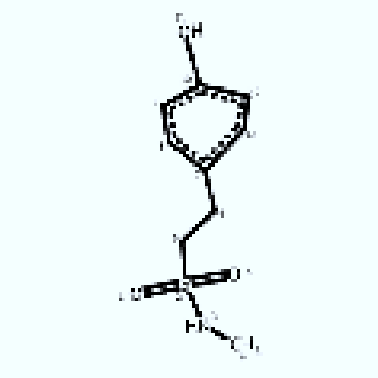 CNS(=O)(=O)CCc1ccc(O)cc1